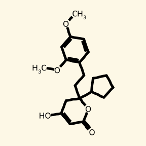 COc1ccc(CCC2(C3CCCC3)CC(O)=CC(=O)O2)c(OC)c1